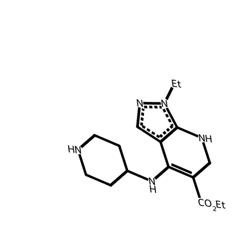 CCOC(=O)C1=C(NC2CCNCC2)c2cnn(CC)c2NC1